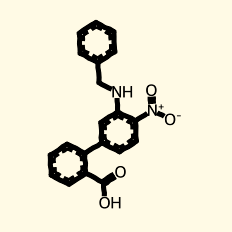 O=C(O)c1ccccc1-c1ccc([N+](=O)[O-])c(NCc2ccccc2)c1